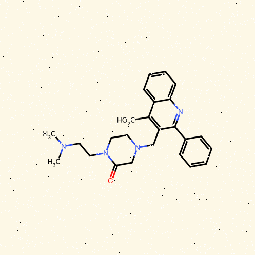 CN(C)CCN1CCN(Cc2c(-c3ccccc3)nc3ccccc3c2C(=O)O)CC1=O